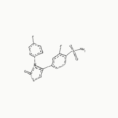 NS(=O)(=O)c1ccc(-c2csc(=O)n2-c2ccc(F)cc2)cc1F